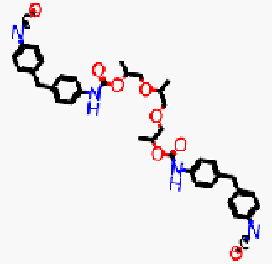 CC(COCC(C)OC(=O)Nc1ccc(Cc2ccc(N=C=O)cc2)cc1)OCC(C)OC(=O)Nc1ccc(Cc2ccc(N=C=O)cc2)cc1